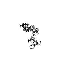 CC(=O)N(CCCCNc1cc(Cl)cc(Cl)c1)[C@@H]1CCCN(c2ncnc3[nH]ccc23)C1